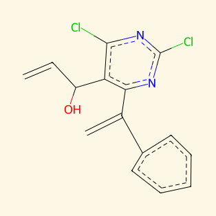 C=CC(O)c1c(Cl)nc(Cl)nc1C(=C)c1ccccc1